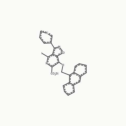 CCOC(=O)c1nc(I)c2c(-c3ccccc3)noc2c1OCc1c2ccccc2cc2ccccc12